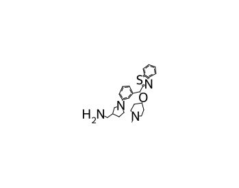 CN1CCC(OC(c2cccc(N3CCC(CN)C3)c2)c2nc3ccccc3s2)CC1